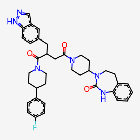 O=C(CC(Cc1ccc2[nH]ncc2c1)C(=O)N1CCC(c2ccc(F)cc2)CC1)N1CCC(N2CCc3ccccc3NC2=O)CC1